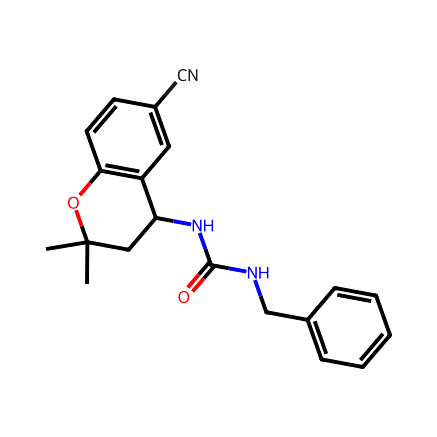 CC1(C)CC(NC(=O)NCc2ccccc2)c2cc(C#N)ccc2O1